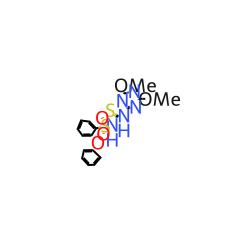 COc1nc(NC(=S)NS(=O)(=O)c2ccccc2Oc2ccccc2)nc(OC)n1